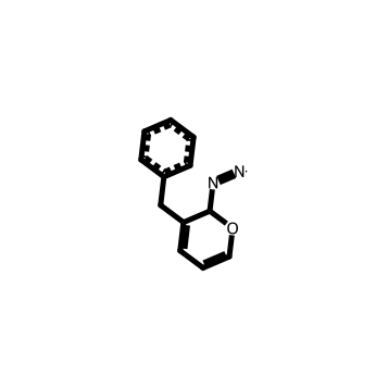 [N]=NC1OC=CC=C1Cc1ccccc1